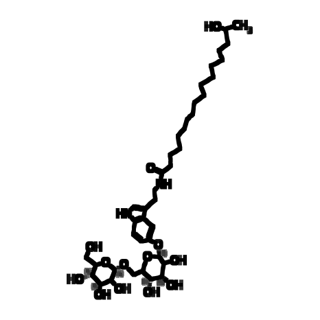 CC(O)CCCCCCCCCCCCCCCC(=O)NCCc1c[nH]c2ccc(O[C@H]3OC(CO[C@H]4OC(CO)[C@@H](O)[C@H](O)C4O)[C@@H](O)[C@H](O)C3O)cc12